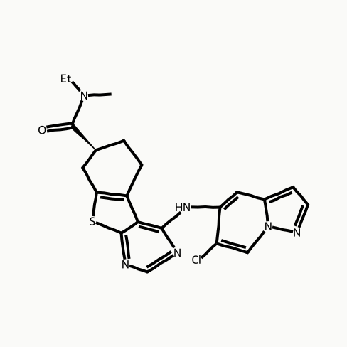 CCN(C)C(=O)[C@H]1CCc2c(sc3ncnc(Nc4cc5ccnn5cc4Cl)c23)C1